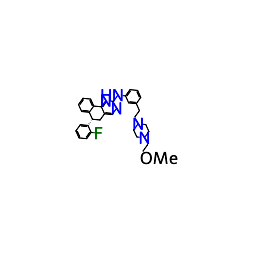 COCCN1CCN(CCc2cccc(Nc3ncc4c(n3)-c3ccccc3[C@@H](c3ccccc3F)C4)c2)CC1